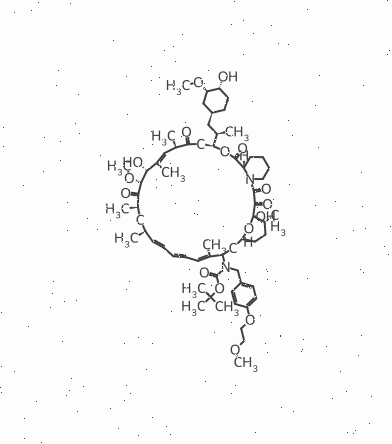 COCCOc1ccc(CN(C(=O)OC(C)(C)C)C2C[C@@H]3CC[C@@H](C)[C@@](O)(O3)C(=O)C(=O)N3CCCC[C@H]3C(=O)O[C@H]([C@H](C)C[C@@H]3CC[C@@H](O)[C@H](OC)C3)CC(=O)[C@H](C)/C=C(\C)[C@@H](O)[C@@H](OC)C(=O)[C@H](C)C[C@H](C)/C=C/C=C/C=C/2C)cc1